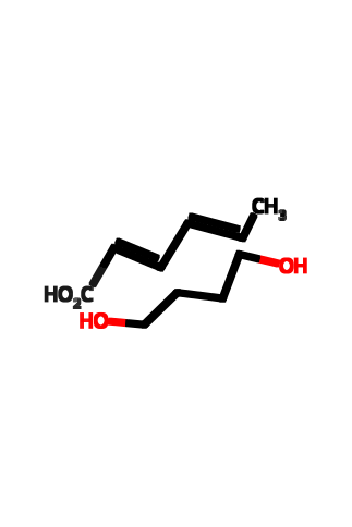 C/C=C/C=C/C(=O)O.OCCCCO